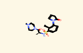 [CH2][C@H](NS(=O)(=O)c1cccc(N2CCCC2=O)c1C)C(=O)N1CCN(C)CC1